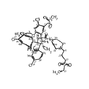 CCOc1cc(Cl)c(S(C)(=O)=O)cc1C1(C(=O)N2CCN(CCCS(=O)(=O)CC)CC2)N[C@@](C)(c2ccc(Cl)cc2)[C@@](C)(c2ccc(Cl)cc2)N1